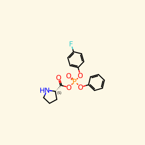 O=C(OP(=O)(Oc1ccccc1)Oc1ccc(F)cc1)[C@@H]1CCCN1